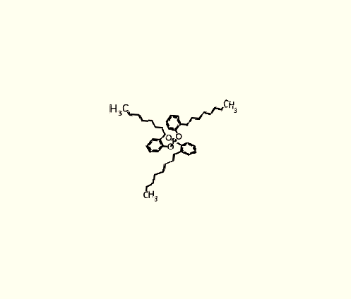 CCCCCCCCc1ccccc1OP(=O)(Oc1ccccc1CCCCCCCC)c1ccccc1CCCCCCCC